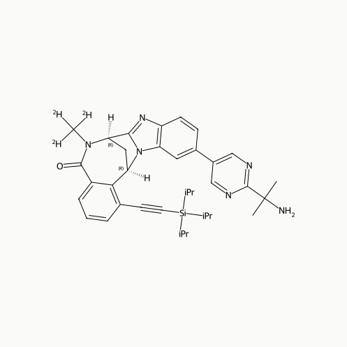 [2H]C([2H])([2H])N1C(=O)c2cccc(C#C[Si](C(C)C)(C(C)C)C(C)C)c2[C@H]2C[C@@H]1c1nc3ccc(-c4cnc(C(C)(C)N)nc4)cc3n12